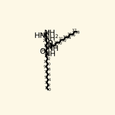 CCCCCCCCCCCCCCNC(=O)C(CCCNC(=N)N)NC(=O)CCCCCCCCCCC